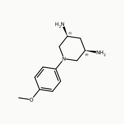 COc1ccc(N2C[C@H](N)C[C@H](N)C2)cc1